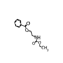 CCOC(=O)NCCOC(=O)c1ccccc1